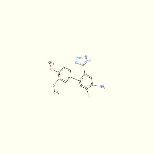 COc1ccc(-c2cc(F)c(N)cc2-c2nnn[nH]2)cc1OC